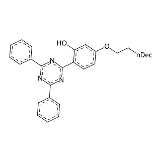 CCCCCCCCCCCCOc1ccc(-c2nc(-c3ccccc3)nc(-c3ccccc3)n2)c(O)c1